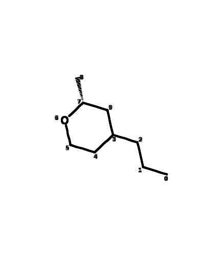 CCCC1CCO[C@H](C)C1